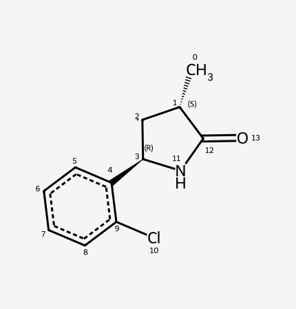 C[C@H]1[CH][C@H](c2ccccc2Cl)NC1=O